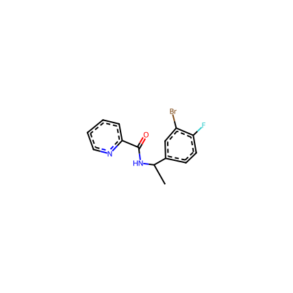 CC(NC(=O)c1ccccn1)c1ccc(F)c(Br)c1